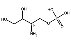 N[C@H](COP(=O)(O)O)C(O)CO